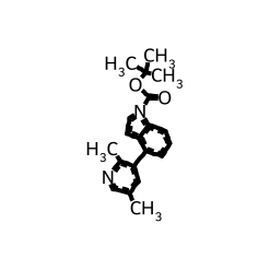 Cc1cnc(C)c(-c2cccc3c2ccn3C(=O)OC(C)(C)C)c1